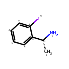 C[C@@H](N)c1ccccc1I